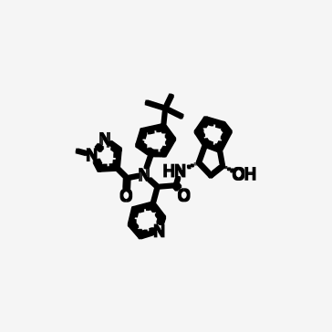 Cn1cc(C(=O)N(c2ccc(C(C)(C)C)cc2)C(C(=O)N[C@H]2C[C@@H](O)c3ccccc32)c2cccnc2)cn1